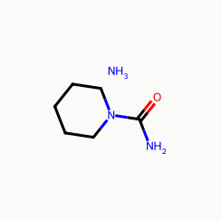 N.NC(=O)N1CCCCC1